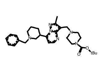 Cc1nn2c(C3CCCN(Cc4ccccc4)C3)ccnc2c1CN1CCN(C(=O)OC(C)(C)C)CC1